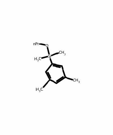 CCCO[Si](C)(C)c1cc(C)cc(C)c1